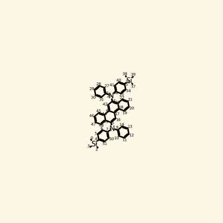 C[Si](C)(C)c1ccc(N(c2ccccc2)c2cc3c4ccccc4c(N(c4ccccc4)c4ccc([Si](C)(C)C)cc4)cc3c3ccccc23)cc1